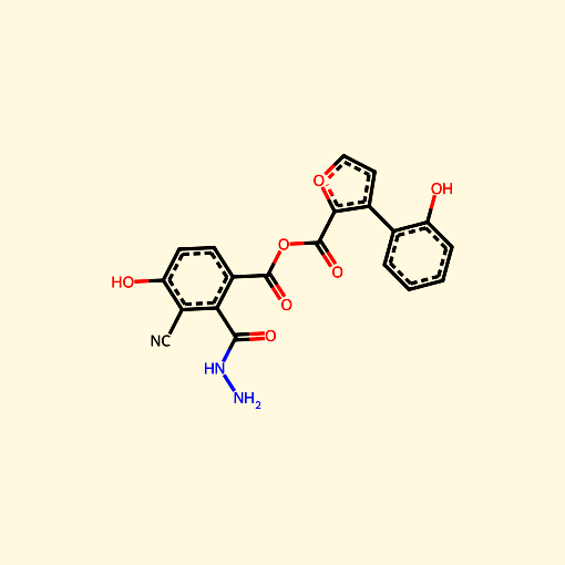 N#Cc1c(O)ccc(C(=O)OC(=O)c2occc2-c2ccccc2O)c1C(=O)NN